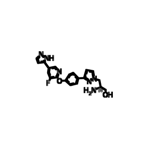 N[C@H](CO)Cn1ccc(-c2ccc(Oc3ncc(-c4ccn[nH]4)cc3F)cc2)n1